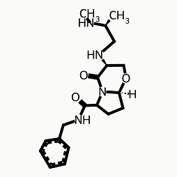 CN[C@@H](C)CN[C@H]1CO[C@H]2CCC(C(=O)NCc3ccccc3)N2C1=O